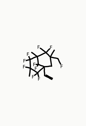 C=CC12CC(C)(CF)C(F)(F)C(C)(C(F)(F)C(C)(F)C1(F)F)C2(F)F